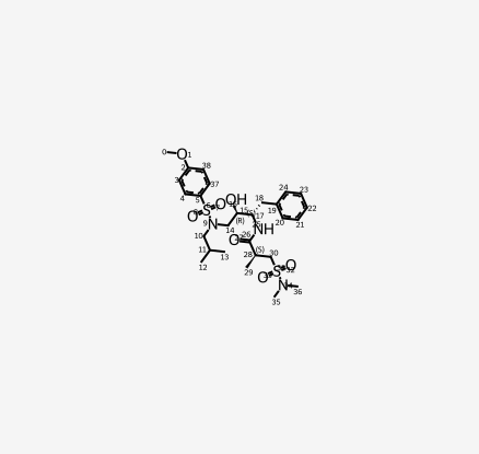 COc1ccc(S(=O)(=O)N(CC(C)C)C[C@@H](O)[C@H](Cc2ccccc2)NC(=O)[C@H](C)CS(=O)(=O)N(C)C)cc1